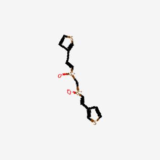 [O-][S+](C=Cc1ccsc1)C[S+]([O-])C=Cc1ccsc1